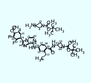 CC(C)(C)OC(=O)N1CC(N)C1.CCc1cc(Nc2nccn3c(-c4ccc(OC)c(F)c4F)cnc23)ccc1C(=O)NC1CN(C(=O)OC(C)(C)C)C1